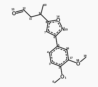 COc1ccc(-c2cc(C(C)CC=O)on2)cc1OC